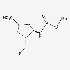 CC(C)(C)OC(=O)N[C@@H]1CN(C(=O)O)C[C@H]1CF